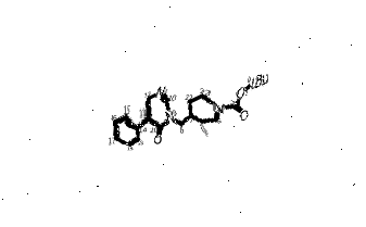 CC(C)(C)OC(=O)N1CCC(Cn2cncc(-c3ccccc3)c2=O)CC1